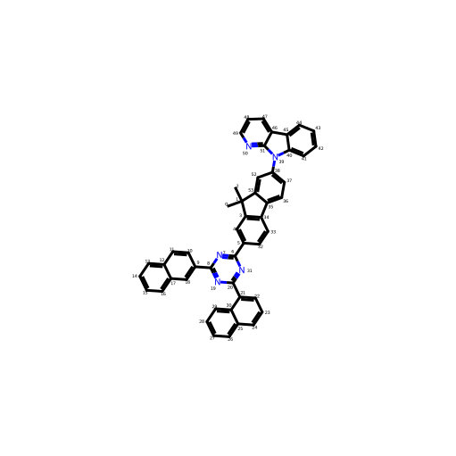 CC1(C)c2cc(-c3nc(-c4ccc5ccccc5c4)nc(-c4cccc5ccccc45)n3)ccc2-c2ccc(-n3c4ccccc4c4cccnc43)cc21